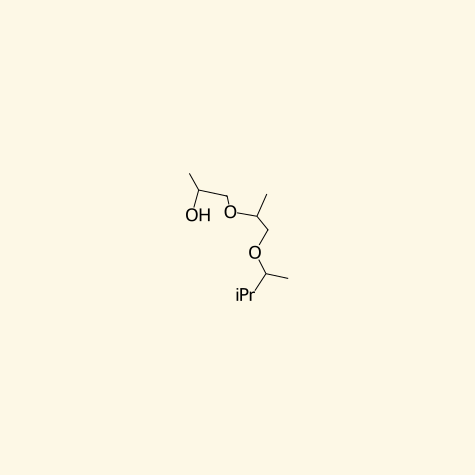 CC(O)COC(C)COC(C)C(C)C